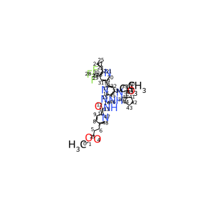 CCOC(=O)CCc1ccc(C(=O)Nc2nc3nc(-c4cnc(C5CC5)c(C(F)(F)F)c4)cc(N(C)CC4(COC)CCCC4)c3[nH]2)nc1